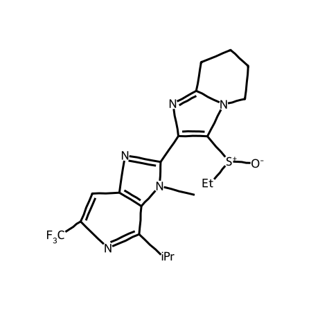 CC[S+]([O-])c1c(-c2nc3cc(C(F)(F)F)nc(C(C)C)c3n2C)nc2n1CCCC2